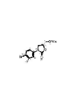 COC[C@H]1CN(c2ccc(Br)c(F)c2)C(=O)O1